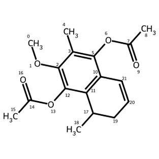 COc1c(C)c(OC(C)=O)c2c(c1OC(C)=O)C(C)CC=C2